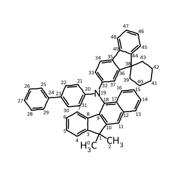 CC1(C)c2ccccc2-c2c1cc1ccccc1c2N(c1ccc(-c2ccccc2)cc1)c1ccc2c(c1)C1(CCCCC1)c1ccccc1-2